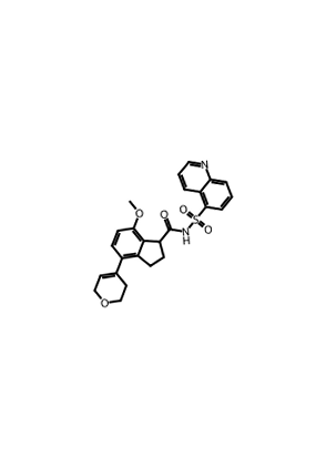 COc1ccc(C2=CCOCC2)c2c1C(C(=O)NS(=O)(=O)c1cccc3ncccc13)CC2